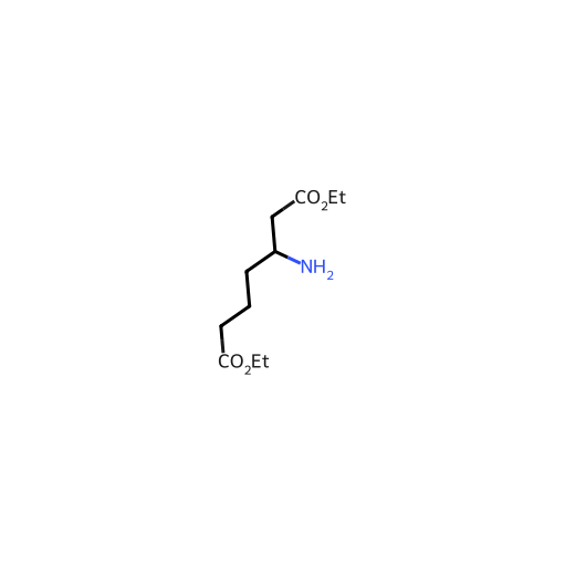 CCOC(=O)CCCC(N)CC(=O)OCC